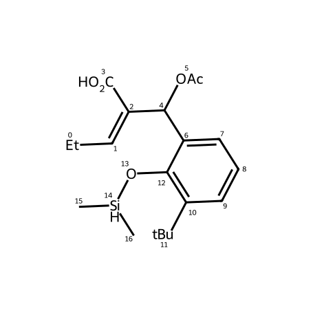 CCC=C(C(=O)O)C(OC(C)=O)c1cccc(C(C)(C)C)c1O[SiH](C)C